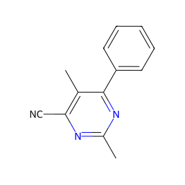 Cc1nc(C#N)c(C)c(-c2ccccc2)n1